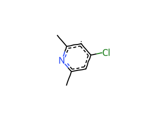 Cc1[c]c(Cl)cc(C)n1